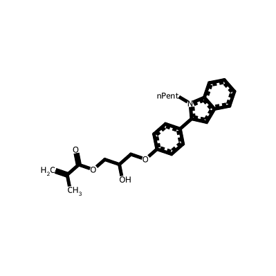 C=C(C)C(=O)OCC(O)COc1ccc(-c2cc3ccccc3n2CCCCC)cc1